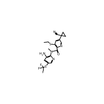 CCSc1cc(C2(C#N)CC2)cnc1C(=O)N(C)c1ncc(SC(F)(F)F)cc1N